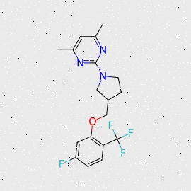 Cc1cc(C)nc(N2CCC(COc3cc(F)ccc3C(F)(F)F)C2)n1